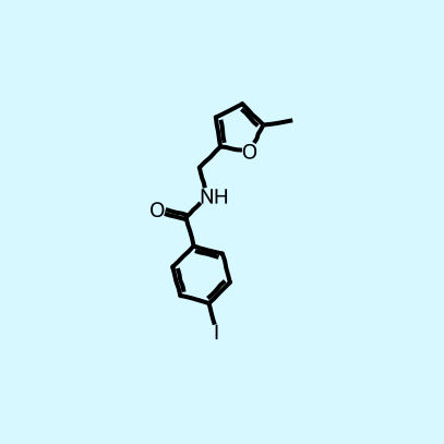 Cc1ccc(CNC(=O)c2ccc(I)cc2)o1